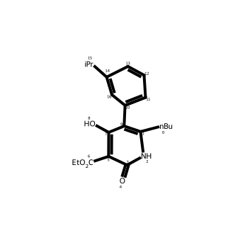 CCCCc1[nH]c(=O)c(C(=O)OCC)c(O)c1-c1cccc(C(C)C)c1